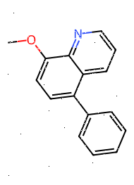 COc1ccc(-c2ccccc2)c2cccnc12